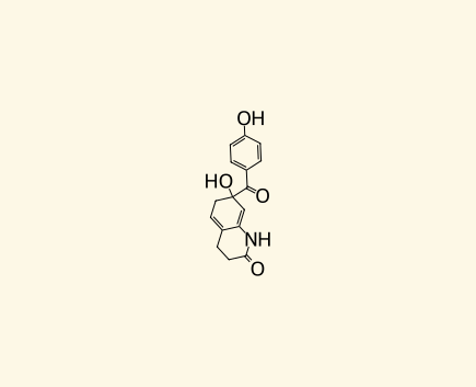 O=C1CCC2=CCC(O)(C(=O)c3ccc(O)cc3)C=C2N1